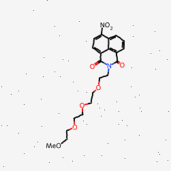 COCCOCCOCCOCCN1C(=O)c2cccc3c([N+](=O)[O-])ccc(c23)C1=O